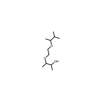 CC(C)C(C)OCCOC(C)C(C)O